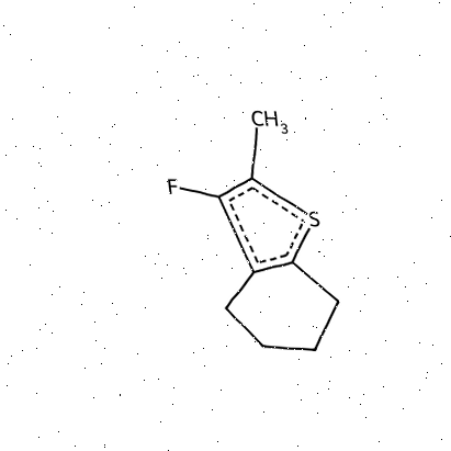 Cc1sc2c(c1F)CCCC2